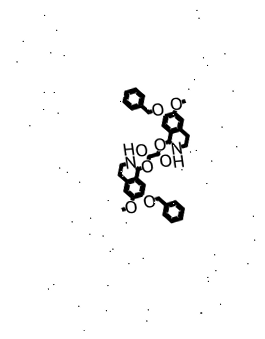 COc1cc2c(cc1OCc1ccccc1)C(OC(=O)C(=O)OC1NCCc3cc(OC)c(OCc4ccccc4)cc31)NCC2